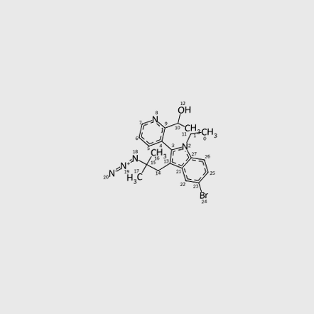 CCn1c(-c2cccnc2C(C)O)c(CC(C)(C)N=[N+]=[N-])c2cc(Br)ccc21